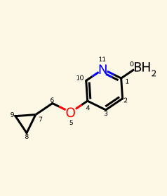 Bc1ccc(OCC2CC2)cn1